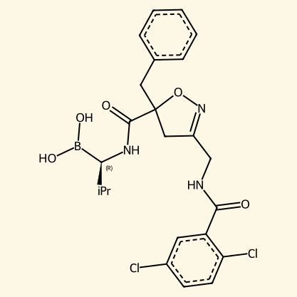 CC(C)[C@H](NC(=O)C1(Cc2ccccc2)CC(CNC(=O)c2cc(Cl)ccc2Cl)=NO1)B(O)O